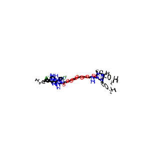 Cc1cc(F)cc(-c2cnc(NCCNC(=O)CCOCCOCCOCCOCCOCCNC(=O)CN3CCN(CC(=O)O)CCN(CC(=O)O)CCN(CC(=O)O)CC3)c(-c3nc4cc(Cl)ccc4[nH]3)c2N2CCC(N)CC2)c1